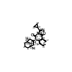 CN1[C@@H]2CCC[C@H]1C[C@@H](N(C(N)=O)c1ccccc1-c1nc(C3CC3)no1)C2